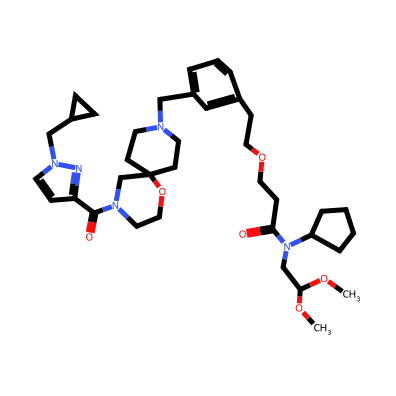 COC(CN(C(=O)CCOCCc1cccc(CN2CCC3(CC2)CN(C(=O)c2ccn(CC4CC4)n2)CCO3)c1)C1CCCC1)OC